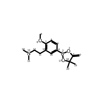 C=C1OB(c2ccc(OC)c(CCN(C)C)c2)OC1(C)C